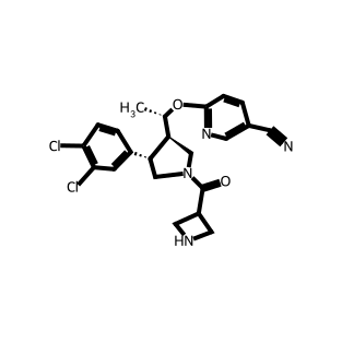 C[C@H](Oc1ccc(C#N)cn1)[C@H]1CN(C(=O)C2CNC2)C[C@@H]1c1ccc(Cl)c(Cl)c1